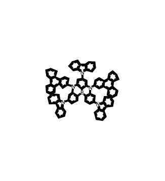 c1ccc2c(c1)c1ccccc1c1cc(N3c4cc(-n5c6ccccc6c6ccccc65)ccc4B4c5ccc(-n6c7ccccc7c7ccccc76)cc5N(c5ccc6c7ccccc7c7ccccc7c6c5)c5cc(-n6c7ccccc7c7ccccc76)cc3c54)ccc21